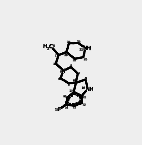 CC(CN1CCC2(CC1)CNc1ccc(F)cc12)C1CCNCC1